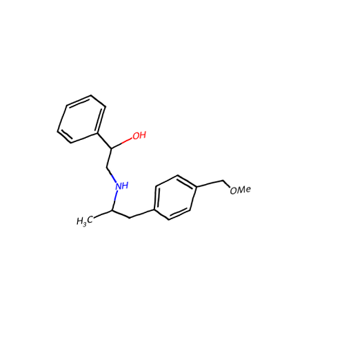 COCc1ccc(CC(C)NCC(O)c2ccccc2)cc1